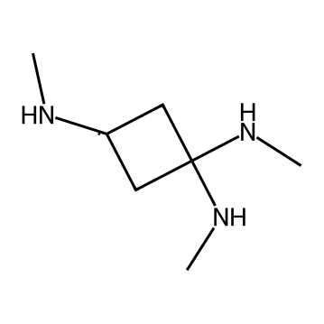 CN[C]1CC(NC)(NC)C1